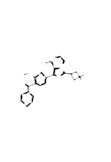 COc1cc(-c2nc(C3CC(C)(O)C3)n3ccnc(N)c23)ccc1C(=O)c1ccccc1